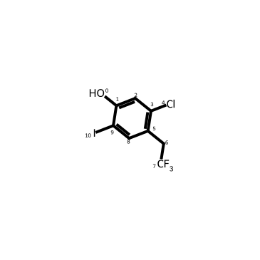 Oc1cc(Cl)c(CC(F)(F)F)cc1I